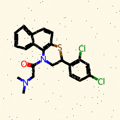 CN(C)CC(=O)N1CC(c2ccc(Cl)cc2Cl)Sc2ccc3ccccc3c21